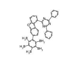 Bc1c(B)c(B)c(-c2ccc3c(c2)oc2cccc(-c4nc(-c5ccccc5)nc(-c5ccccc5)n4)c23)c(B)c1B